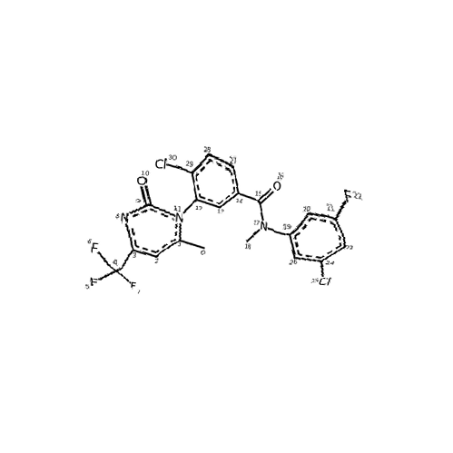 Cc1cc(C(F)(F)F)nc(=O)n1-c1cc(C(=O)N(C)c2cc(F)cc(Cl)c2)ccc1Cl